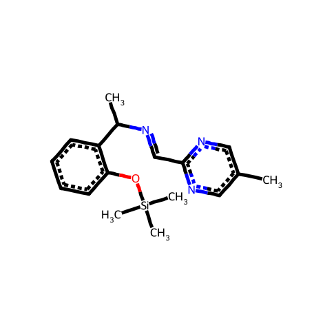 Cc1cnc(C=NC(C)c2ccccc2O[Si](C)(C)C)nc1